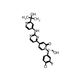 CC(C)(O)c1cc(Nc2nccc(-c3ccn([C@H](CO)c4ccc(Cl)c(F)c4)c(=O)c3)n2)ccn1